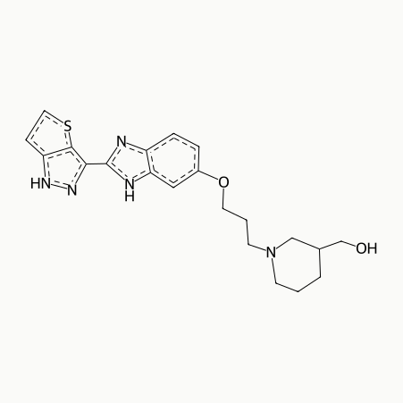 OCC1CCCN(CCCOc2ccc3nc(-c4n[nH]c5ccsc45)[nH]c3c2)C1